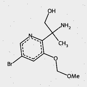 COCOc1cc(Br)cnc1C(C)(N)CO